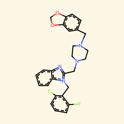 Fc1cccc(F)c1Cn1c(CN2CCN(Cc3ccc4c(c3)OCO4)CC2)nc2ccccc21